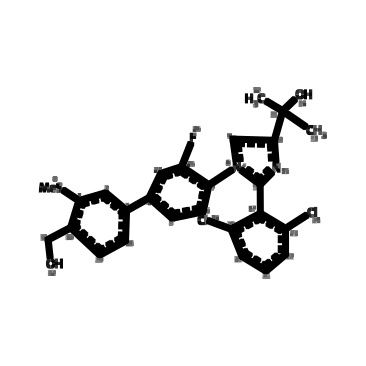 CSc1cc(-c2ccc(-n3cc(C(C)(C)O)nc3-c3c(Cl)cccc3Cl)c(F)c2)ccc1CO